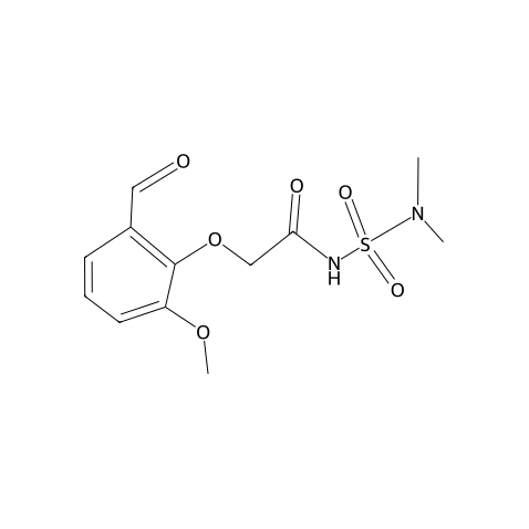 COc1cccc(C=O)c1OCC(=O)NS(=O)(=O)N(C)C